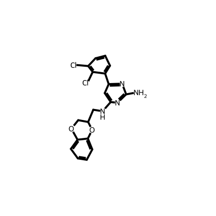 Nc1nc(NCC2COc3ccccc3O2)cc(-c2cccc(Cl)c2Cl)n1